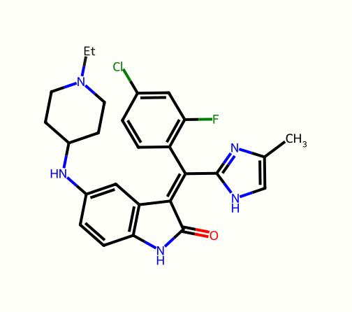 CCN1CCC(Nc2ccc3c(c2)C(=C(c2nc(C)c[nH]2)c2ccc(Cl)cc2F)C(=O)N3)CC1